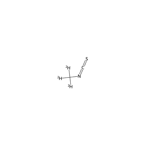 [2H]C([2H])([2H])N=C=S